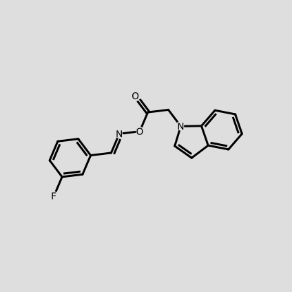 O=C(Cn1ccc2ccccc21)ON=Cc1cccc(F)c1